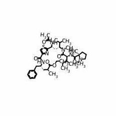 CCOC(=O)[C@@H](C)C[C@H](Cc1ccccc1)NC(=O)c1csc([C@@H](C[C@H](C(C)C)N(C)C(=O)[C@@H](NC(=O)[C@@]2(C)CCCN2C)C(C)CC)NC(C)=O)n1